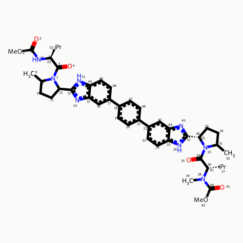 COC(=O)N[C@H](C(=O)N1C(C)CCC1c1nc2cc(-c3ccc(-c4ccc5[nH]c([C@@H]6CCC(C)N6C(=O)[C@H](C(C)C)N(C)C(=O)OC)nc5c4)cc3)ccc2[nH]1)C(C)C